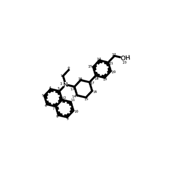 CCN(c1cccc2ccccc12)C1CCCC(c2ccc(CO)cc2)C1